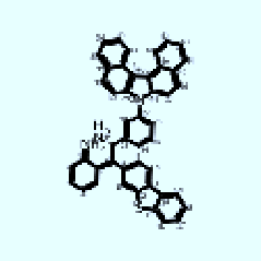 N=C1C=CC=C/C1=C(\c1ccc2c(c1)sc1ccccc12)[C@H](N)c1cccc(-n2c3ccc4ccccc4c3c3c4ccccc4ccc32)c1